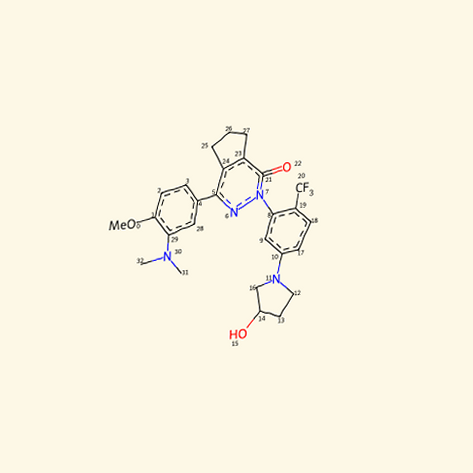 COc1ccc(-c2nn(-c3cc(N4CCC(O)C4)ccc3C(F)(F)F)c(=O)c3c2CCC3)cc1N(C)C